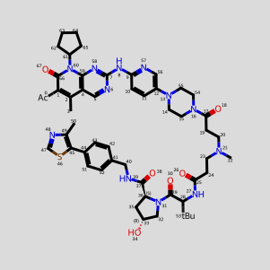 CC(=O)c1c(C)c2cnc(Nc3ccc(N4CCN(C(=O)CCN(C)CCC(=O)NC(C(=O)N5C[C@H](O)C[C@H]5C(=O)NCc5ccc(-c6scnc6C)cc5)C(C)(C)C)CC4)cn3)nc2n(C2CCCC2)c1=O